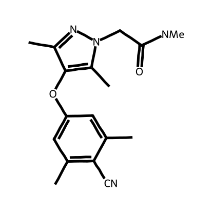 CNC(=O)Cn1nc(C)c(Oc2cc(C)c(C#N)c(C)c2)c1C